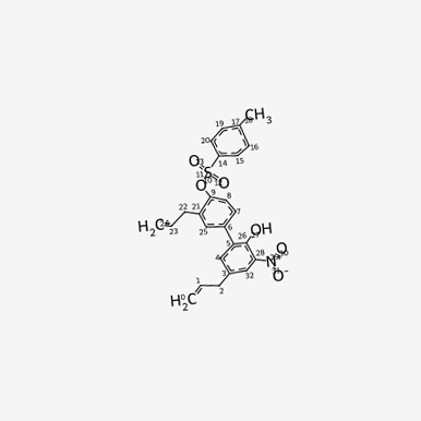 C=CCc1cc(-c2ccc(OS(=O)(=O)c3ccc(C)cc3)c(CC=C)c2)c(O)c([N+](=O)[O-])c1